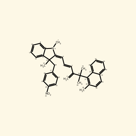 C=C(/C=C/C=C1/N(C)c2ccccc2C1(C)Cc1ccc([N+](=O)[O-])cc1)C(C)(C)c1c(C)ccc2ccccc12